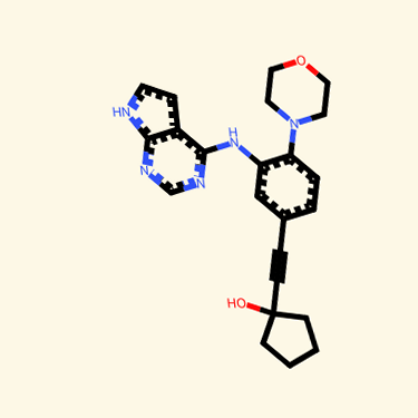 OC1(C#Cc2ccc(N3CCOCC3)c(Nc3ncnc4[nH]ccc34)c2)CCCC1